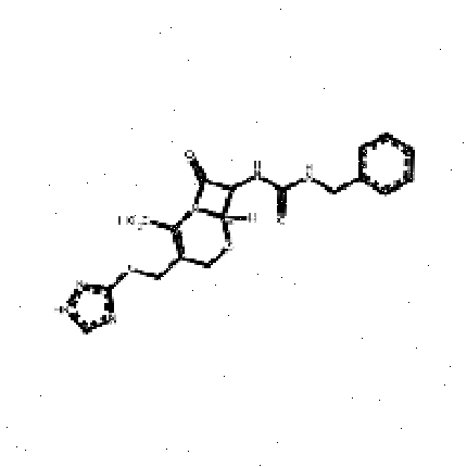 O=C(NCc1ccccc1)NC1C(=O)N2C(C(=O)O)=C(CSc3nc[nH]n3)CS[C@@H]12